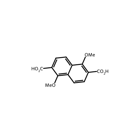 COc1c(C(=O)O)ccc2c(OC)c(C(=O)O)ccc12